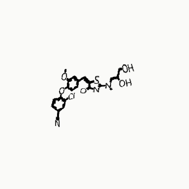 COc1cc(/C=C2/SC(N(C)CC(O)CO)=NC2=O)ccc1Oc1ccc(C#N)cc1Cl